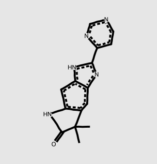 CC1(C)C(=O)Nc2cc3[nH]c(-c4ccncn4)nc3cc21